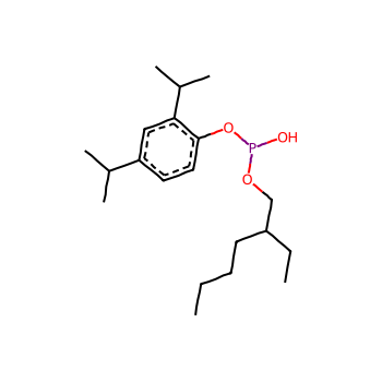 CCCCC(CC)COP(O)Oc1ccc(C(C)C)cc1C(C)C